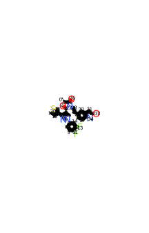 C[C@H]1O[C@H](c2cn(-c3ccc(F)c(F)c3)nc2-c2ccsc2)N(CCc2ccc3c(c2)=CC(=O)N=3)C1=O